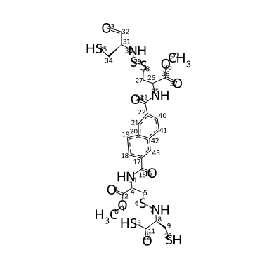 COC(=O)C(CSN[C@@H](CS)C(=O)S)NC(=O)c1ccc2cc(C(=O)NC(CSSN[C@H](C=O)CS)C(=O)OC)ccc2c1